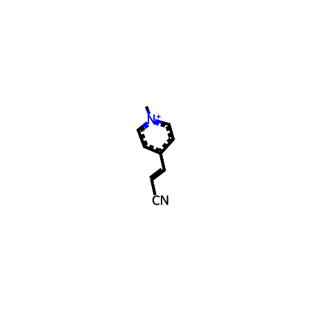 C[n+]1ccc(C=CC#N)cc1